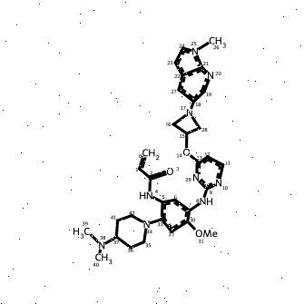 C=CC(=O)Nc1cc(Nc2nccc(OC3CN(c4cnc5c(ccn5C)c4)C3)n2)c(OC)cc1N1CCC(N(C)C)CC1